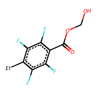 CCc1c(F)c(F)c(C(=O)OCO)c(F)c1F